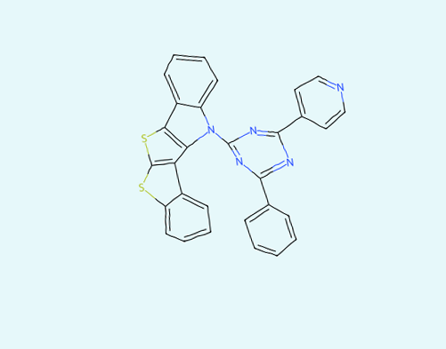 c1ccc(-c2nc(-c3ccncc3)nc(-n3c4ccccc4c4sc5sc6ccccc6c5c43)n2)cc1